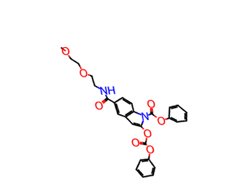 COCCOCCNC(=O)c1ccc2c(c1)cc(OC(=O)Oc1ccccc1)n2C(=O)Oc1ccccc1